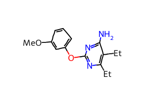 CCc1nc(Oc2cccc(OC)c2)nc(N)c1CC